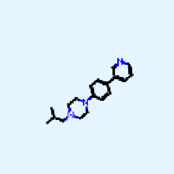 C[C](C)CN1CCN(c2ccc(-c3cccnc3)cc2)CC1